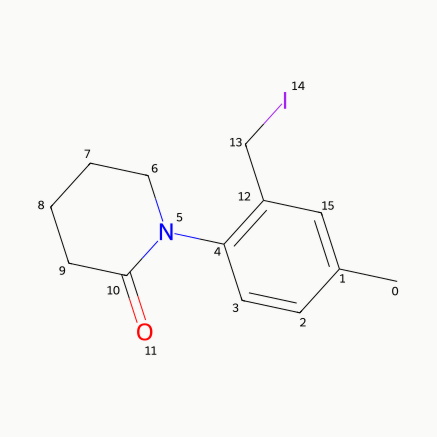 Cc1ccc(N2CCCCC2=O)c(CI)c1